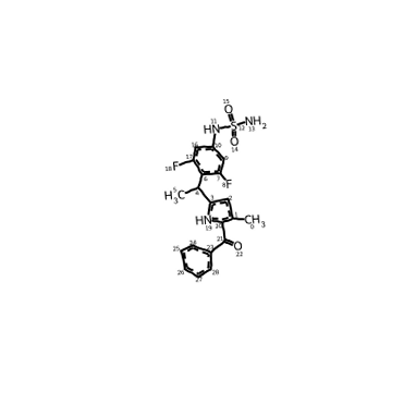 Cc1cc(C(C)c2c(F)cc(NS(N)(=O)=O)cc2F)[nH]c1C(=O)c1ccccc1